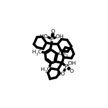 Cc1cc(C)c(C(C2CCCCC2)(C2CCCCC2)P(=O)(O)O)c(C)c1C(C1CCCCC1)(C1CCCCC1)P(=O)(O)O